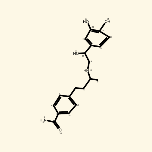 CC(CCc1ccc(C(N)=O)cc1)NCC(O)c1ccc(O)c(O)c1